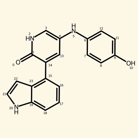 O=c1[nH]cc(Nc2ccc(O)cc2)cc1-c1cccc2[nH]ccc12